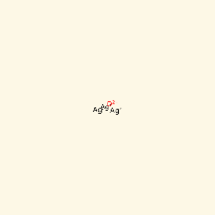 [Ag+].[Ag+].[Ag].[O-2]